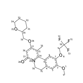 COc1cc2c(cc1OCC(F)(F)F)-c1c(C)c(OCC3CCCCO3)cc(=O)n1CC2